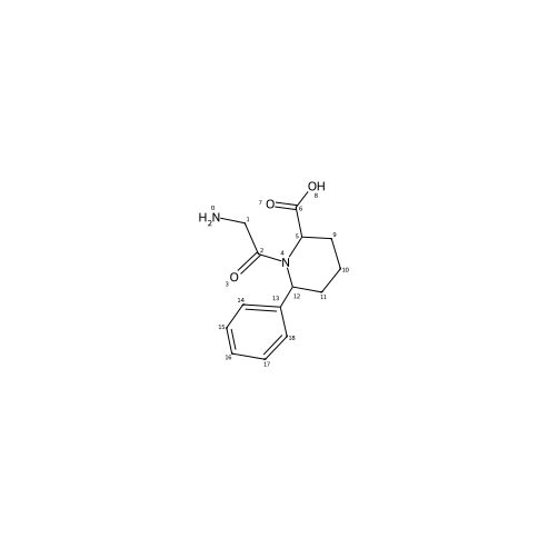 NCC(=O)N1C(C(=O)O)CCCC1c1ccccc1